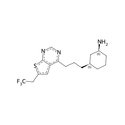 N[C@H]1CCC[C@@H](CCCc2ncnc3sc(CC(F)(F)F)cc23)C1